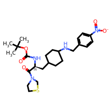 CC(C)(C)OC(=O)N[C@@H](CC1CCC(NCc2ccc([N+](=O)[O-])cc2)CC1)C(=O)N1CCSC1